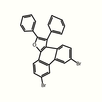 Brc1ccc2c(c1)c1cc(Br)ccc1c1c(-c3ccccc3)c(-c3ccccc3)oc21